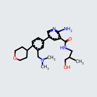 CC(CO)CNC(=O)c1cc(-c2ccc(C3CCOCC3)c(CN(C)C)c2)cnc1N